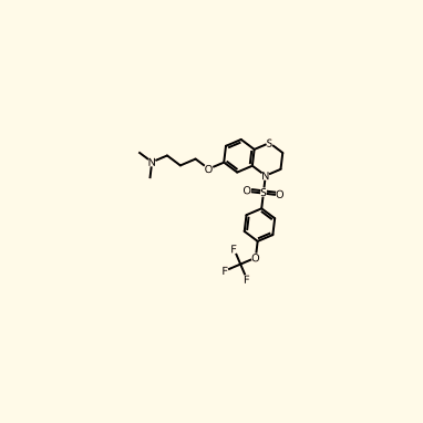 CN(C)CCCOc1ccc2c(c1)N(S(=O)(=O)c1ccc(OC(F)(F)F)cc1)CCS2